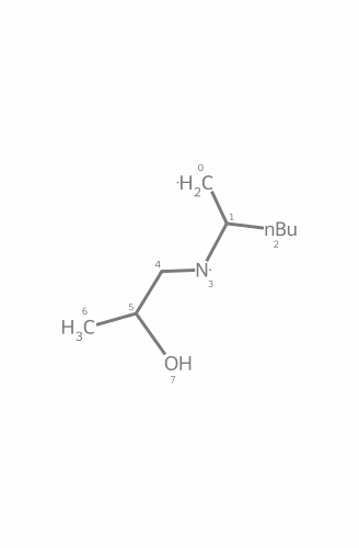 [CH2]C(CCCC)[N]CC(C)O